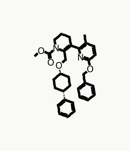 COC(=O)N1CCCC(c2nc(OCc3ccccc3)ccc2C)=C1CO[C@H]1CC[C@@H](c2ccccc2)CC1